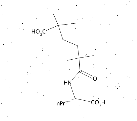 CCC[C@H](NC(=O)C(C)(C)CCC(C)(C)C(=O)O)C(=O)O